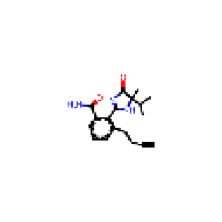 C#CCCc1cccc(C(N)=O)c1C1=NC(=O)C(C)(C(C)C)N1